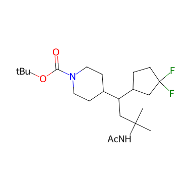 CC(=O)NC(C)(C)CC(C1CCN(C(=O)OC(C)(C)C)CC1)C1CCC(F)(F)C1